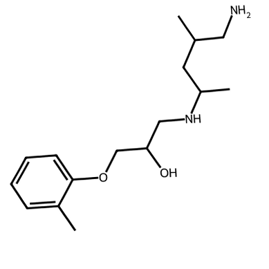 Cc1ccccc1OCC(O)CNC(C)CC(C)CN